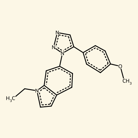 CCn1ccc2ccc(-n3nncc3-c3ccc(OC)cc3)cc21